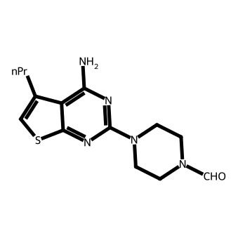 CCCc1csc2nc(N3CCN(C=O)CC3)nc(N)c12